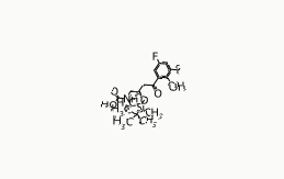 CC(C)(C)[Si](C)(C)O[C@@H](CNC(=O)O)CC(=O)c1cc(F)cc(F)c1O